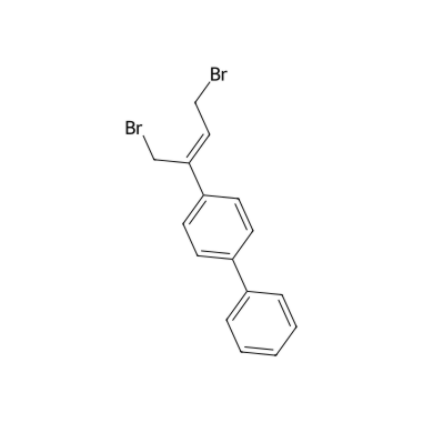 BrCC=C(CBr)c1ccc(-c2ccccc2)cc1